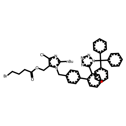 CCCCc1nc(Cl)c(COC(=O)CCCBr)n1Cc1ccc(-c2ccccc2-c2nnnn2C(c2ccccc2)(c2ccccc2)c2ccccc2)cc1